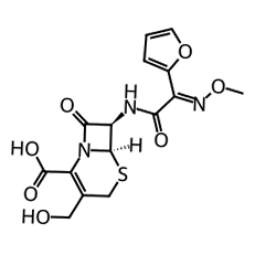 CO/N=C(/C(=O)N[C@@H]1C(=O)N2C(C(=O)O)=C(CO)CS[C@H]12)c1ccco1